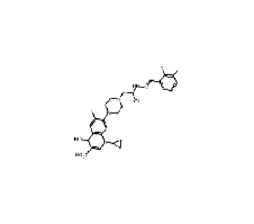 O=C(O)C1=CN(C2CC2)c2cc(N3CCN(CC(O)N/N=C/c4cccc(F)c4F)CC3)c(F)cc2C1O